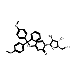 COc1ccc(C(Nc2ccn([C@@H]3O[C@H](CO)[C@@H](O)[C@@H]3O)c(=O)n2)(c2ccccc2)c2ccc(OC)cc2)cc1